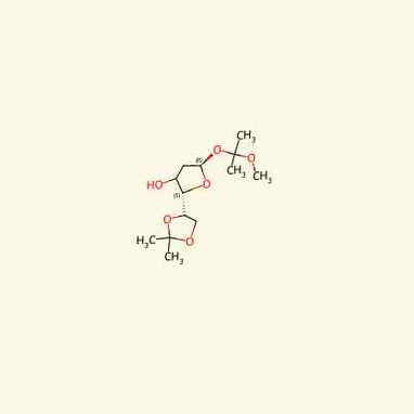 COC(C)(C)O[C@@H]1CC(O)[C@@H](C2COC(C)(C)O2)O1